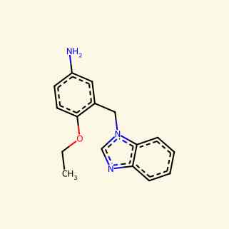 CCOc1ccc(N)cc1Cn1cnc2ccccc21